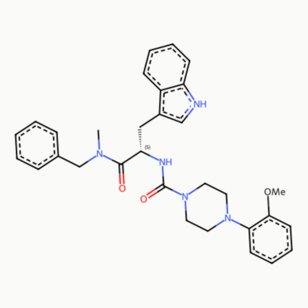 COc1ccccc1N1CCN(C(=O)N[C@@H](Cc2c[nH]c3ccccc23)C(=O)N(C)Cc2ccccc2)CC1